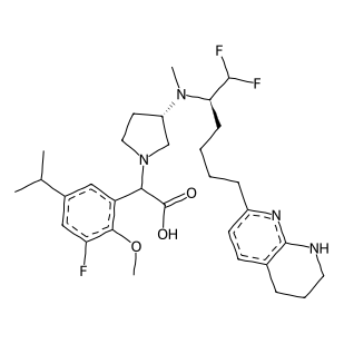 COc1c(F)cc(C(C)C)cc1C(C(=O)O)N1CC[C@H](N(C)[C@H](CCCCc2ccc3c(n2)NCCC3)C(F)F)C1